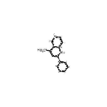 O=C(O)c1cc(-c2ccccc2)nc2ccncc12